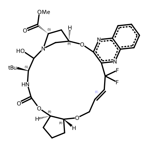 COC(=O)[C@@H]1C[C@@H]2CN1C(O)[C@H](C(C)(C)C)NC(=O)O[C@@H]1CCC[C@H]1OC/C=C/C(F)(F)c1nc3ccccc3nc1O2